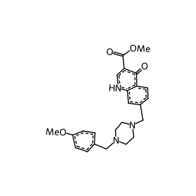 COC(=O)c1c[nH]c2cc(CN3CCN(Cc4ccc(OC)cc4)CC3)ccc2c1=O